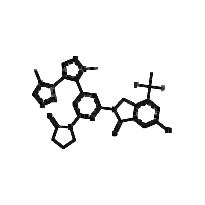 CCc1cc2c(c(C(C)(F)F)c1)CN(c1cc(-c3c(-c4nncn4C)cnn3C)cc(N3CCCC3=O)n1)C2=O